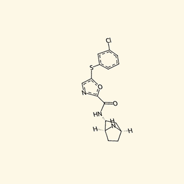 O=C(N[C@@H]1C[C@H]2CC[C@@H]1N2)c1ncc(Sc2cccc(Cl)c2)o1